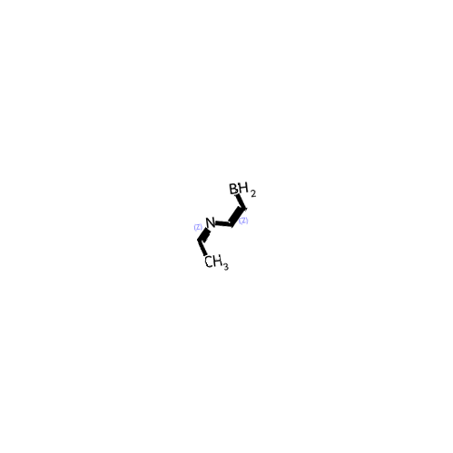 B/C=C\N=C/C